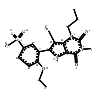 CCCn1c(=O)n(C)c(=O)c2[nH]c(-c3cc(S(=O)(=O)Cl)ccc3OCC)c(Br)c21